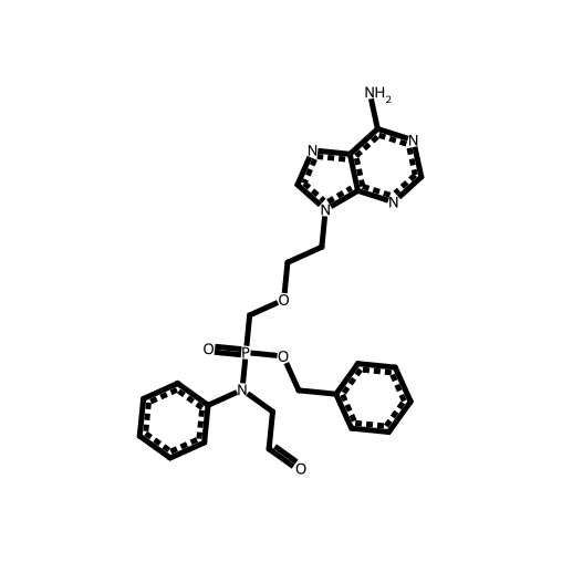 Nc1ncnc2c1ncn2CCOCP(=O)(OCc1ccccc1)N(CC=O)c1ccccc1